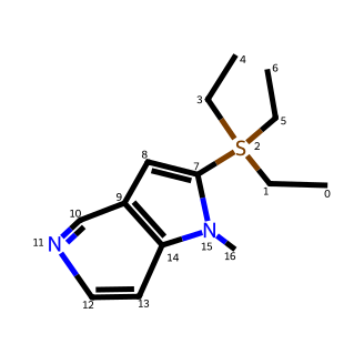 CCS(CC)(CC)c1cc2cnccc2n1C